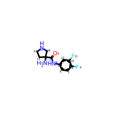 NC1(C(=O)Nc2ccc(F)c(F)c2)CCNC1